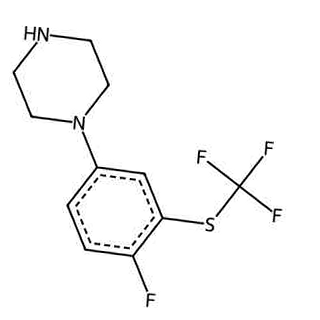 Fc1ccc(N2CCNCC2)cc1SC(F)(F)F